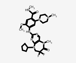 CNC(=O)c1cc(OC)c(Nc2ncc3c(n2)N(C2CCCC2)CC(F)(F)C(=O)N3C)cc1N1CCN(C)CC1